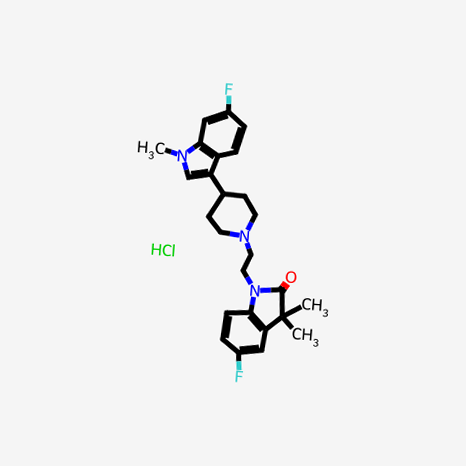 Cl.Cn1cc(C2CCN(CCN3C(=O)C(C)(C)c4cc(F)ccc43)CC2)c2ccc(F)cc21